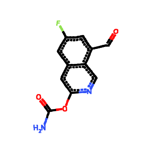 NC(=O)Oc1cc2cc(F)cc(C=O)c2cn1